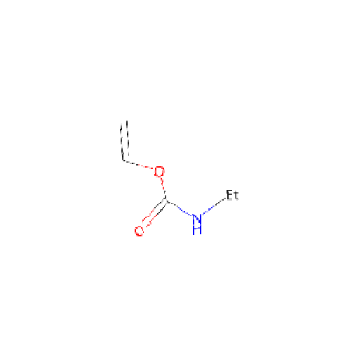 C=COC(=O)NCC